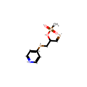 CS(=O)(=O)OC([C]=S)CSc1ccncc1